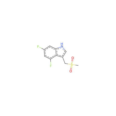 CS(=O)(=O)Cc1c[nH]c2cc(F)cc(F)c12